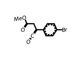 COC(=O)CC(=C=O)c1ccc(Br)cc1